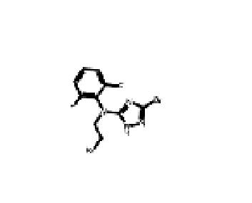 Fc1cccc(F)c1N(CCBr)c1nc(Br)n[nH]1